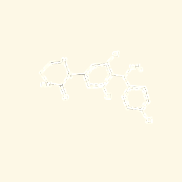 CC(c1ccc(Cl)cc1)c1c(Cl)cc(N2N=CCNC2=O)cc1Cl